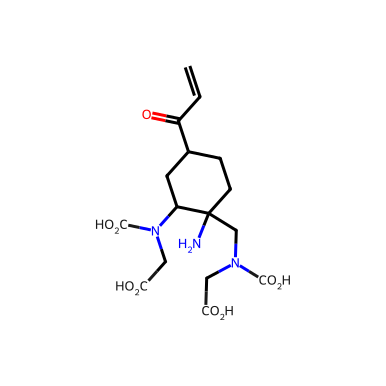 C=CC(=O)C1CCC(N)(CN(CC(=O)O)C(=O)O)C(N(CC(=O)O)C(=O)O)C1